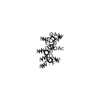 CC[C@H]1O[C@@H](O[C@@H]2[C@@H](OC(C)=O)[C@H](N=[N+]=[N-])C[C@H](N=[N+]=[N-])[C@H]2O[C@H]2O[C@H](CN=[N+]=[N-])[C@@H](C)[C@H](F)[C@H]2N=[N+]=[N-])[C@H](OC(C)=O)[C@@H]1O[C@H]1O[C@@H](CN=[N+]=[N-])[C@@H](OC(C)=O)[C@H](C)[C@H]1N=[N+]=[N-]